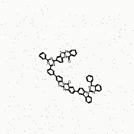 O=c1c2ccccc2nc2sc3cc(-c4nc(-c5ccccc5)nc(-c5cccc(-c6ccc7c(c6)sc6nc8ccc(-c9ccc%10c(c9)c9ccccc9n%10-c9nc(-c%10ccccc%10)c%10ccccc%10n9)cc8c(=O)n67)c5)n4)ccc3n12